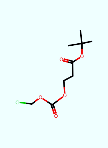 CC(C)(C)OC(=O)CCOC(=O)OCCl